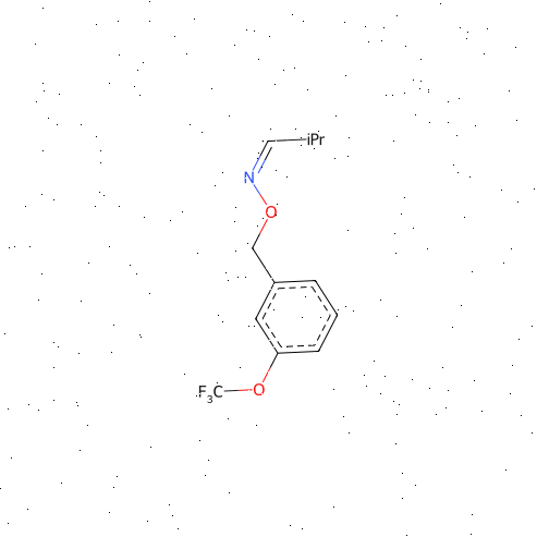 CC(C)/[C]=N\OCc1cccc(OC(F)(F)F)c1